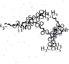 CCCCOC(=O)NC(=N)/C=C\N(C=O)[C@@H]1O[C@H](COC(=O)CCC(=O)OC[C@H]2O[C@@H](n3ccc(NC(=O)OCCCC)nc3=O)C(F)(F)[C@@H]2OC(=O)OC(C)(C)C)[C@@H](OC(=O)OC(C)(C)C)C1(F)F